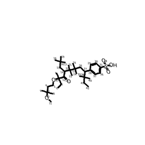 CCC(C)(OCCC(C)(C)OC)C(=O)C(CC(C)(C)C)C(C)(C)C(C)(C)CC(c1ccc(S(=O)(=O)O)cc1)C(C)(C)CC